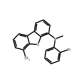 CCc1ccccc1N(C)c1cccc2c1oc1c(C(F)(F)F)cccc12